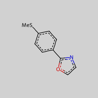 CSc1ccc(-c2ncco2)cc1